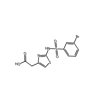 O=C(O)Cc1csc(NS(=O)(=O)c2cccc(Br)c2)n1